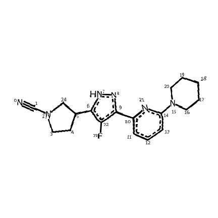 N#CN1CCC(c2[nH]nc(-c3cccc(N4CCCCC4)n3)c2F)C1